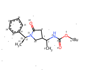 CC(NC(=O)OC(C)(C)C)C1CC(=O)N([C@@H](C)c2ccccc2)C1